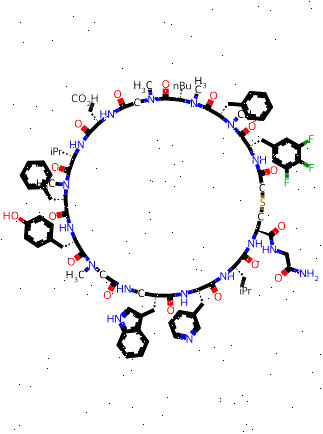 CCCC[C@H]1C(=O)N(C)CC(=O)N[C@@H](CC(=O)O)C(=O)N[C@@H](C(C)C)C(=O)N(C)[C@@H](Cc2ccccc2)C(=O)N[C@@H](Cc2ccc(O)cc2)C(=O)N(C)CC(=O)NC[C@@H](Cc2c[nH]c3ccccc23)C(=O)N[C@@H](Cc2cccnc2)C(=O)N[C@@H](CC(C)C)C(=O)N[C@H](C(=O)NCC(N)=O)CSCC(=O)N[C@@H](Cc2cc(F)c(F)c(F)c2)C(=O)N(C)[C@@H](Cc2ccccc2)C(=O)N1C